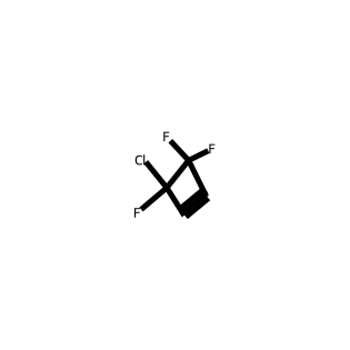 FC1(F)C#CC1(F)Cl